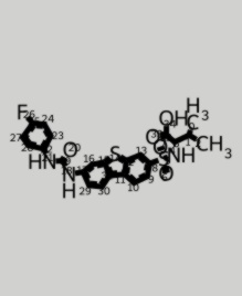 CC(C)[C@H](NS(=O)(=O)c1ccc2c(c1)sc1cc(NC(=O)Nc3ccc(F)cc3)ccc12)C(=O)O